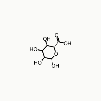 O=C(O)[C@@H]1O[C@H](O)[C@@H](O)[C@@H](O)[C@H]1O